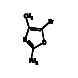 Cc1nc(P)oc1Br